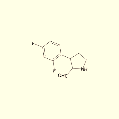 O=CC1NCCC1c1ccc(F)cc1F